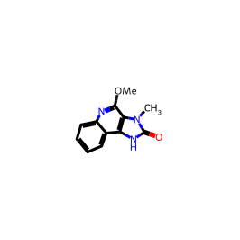 COc1nc2ccccc2c2[nH]c(=O)n(C)c12